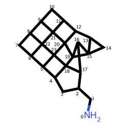 NCC1CC2C3C4CC5C6CC7C8C9CC9%10C9C1C21C9%10C82C67C54C312